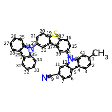 Cc1ccc2c3ccc(C#N)cc3n(-c3ccc4sc5ccc(-n6c7ccccc7c7ccccc76)cc5c4c3)c2c1